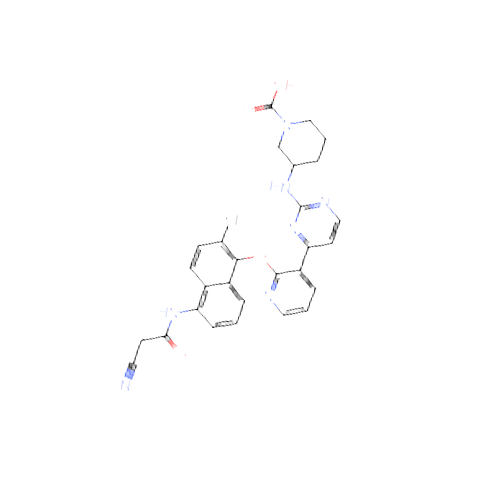 Cc1ccc2c(NC(=O)CC#N)cccc2c1Oc1ncccc1-c1ccnc(NC2CCCN(C(=O)O)C2)n1